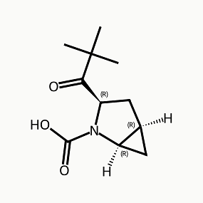 CC(C)(C)C(=O)[C@H]1C[C@H]2C[C@H]2N1C(=O)O